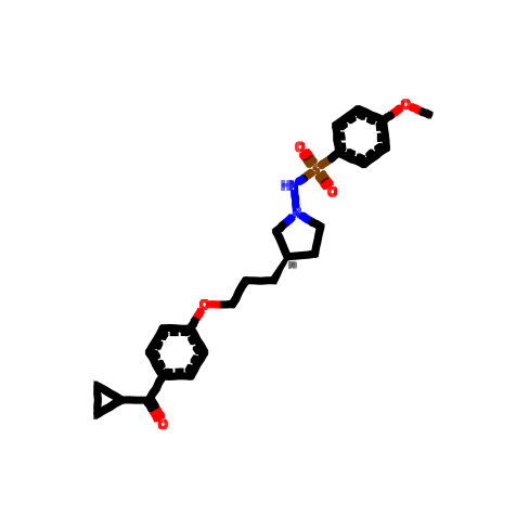 COc1ccc(S(=O)(=O)NN2CC[C@@H](CCCOc3ccc(C(=O)C4CC4)cc3)C2)cc1